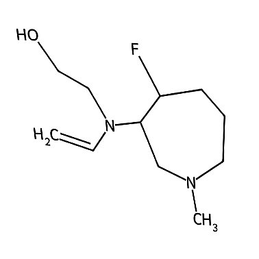 C=CN(CCO)C1CN(C)CCCC1F